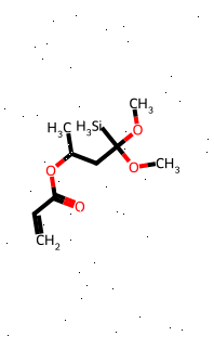 C=CC(=O)OC(C)CC([SiH3])(OC)OC